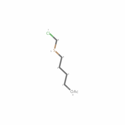 CC(=O)OCCCCSCCl